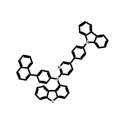 c1ccc2c(-c3ccc(N(c4ccc(-c5ccc(-n6c7ccccc7c7ccccc76)cc5)cn4)c4cccc5sc6ccccc6c45)cc3)cccc2c1